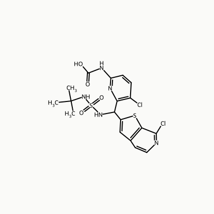 CC(C)(C)NS(=O)(=O)NC(c1cc2ccnc(Cl)c2s1)c1nc(NC(=O)O)ccc1Cl